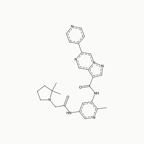 Cc1ncc(NC(=O)CN2CCCC2(C)C)cc1NC(=O)c1cnn2cc(-c3ccncc3)ncc12